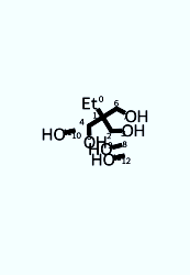 CCC(CO)(CO)CO.CO.CO.CO